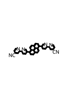 N#Cc1ccnc(-c2ccc(-c3ccc4ccc5c(-c6ccc(-c7cc(C#N)ccn7)nc6)ccc6ccc3c4c65)cn2)c1